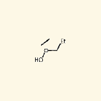 CC.CCCOO